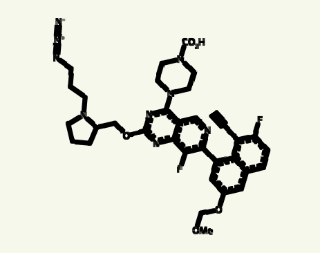 C#Cc1c(F)ccc2cc(OCOC)cc(-c3ncc4c(N5CCN(C(=O)O)CC5)nc(OCC5CCCN5CCCN=[N+]=[N-])nc4c3F)c12